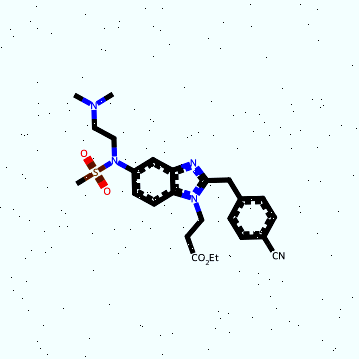 CCOC(=O)CCn1c(Cc2ccc(C#N)cc2)nc2cc(N(CCN(C)C)S(C)(=O)=O)ccc21